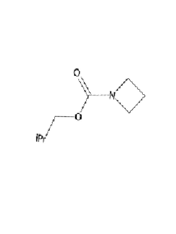 CC(C)COC(=O)N1CCC1